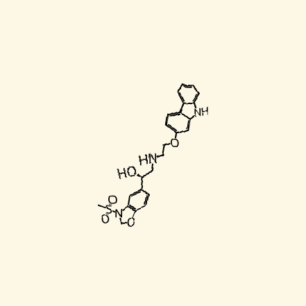 CS(=O)(=O)N1COc2ccc([C@@H](O)CNCCOc3ccc4c(c3)[nH]c3ccccc34)cc21